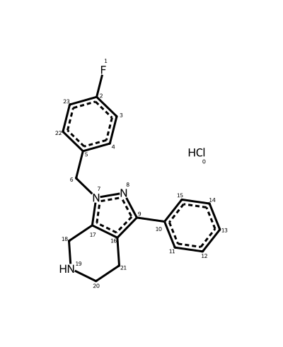 Cl.Fc1ccc(Cn2nc(-c3ccccc3)c3c2CNCC3)cc1